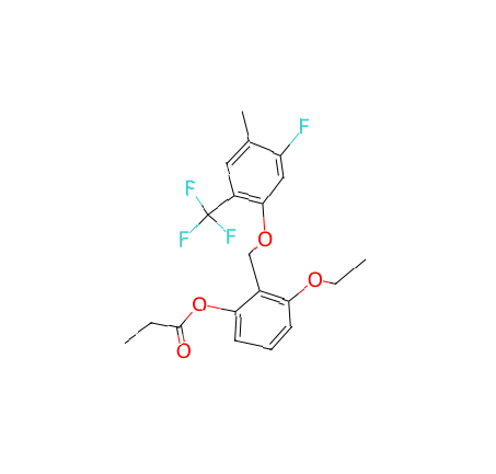 CCOc1cccc(OC(=O)CC)c1COc1cc(F)c(C)cc1C(F)(F)F